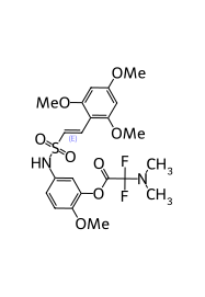 COc1cc(OC)c(/C=C/S(=O)(=O)Nc2ccc(OC)c(OC(=O)C(F)(F)N(C)C)c2)c(OC)c1